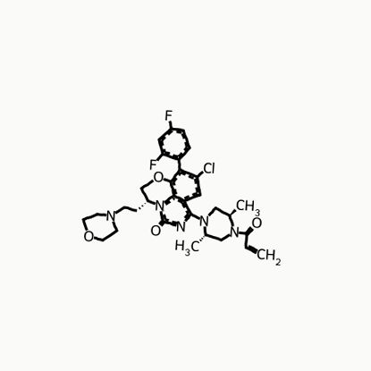 C=CC(=O)N1C[C@H](C)N(c2nc(=O)n3c4c(c(-c5ccc(F)cc5F)c(Cl)cc24)OC[C@H]3CCN2CCOCC2)C[C@H]1C